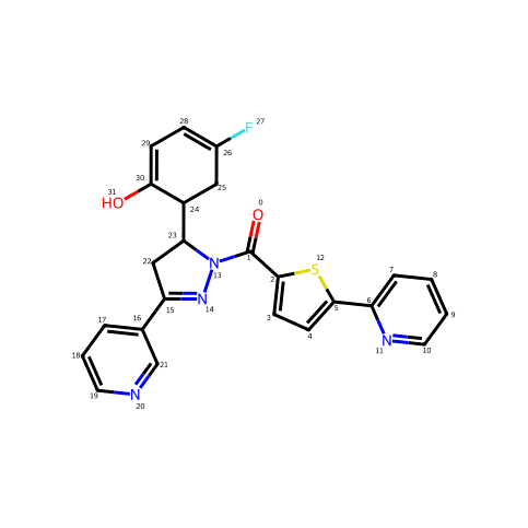 O=C(c1ccc(-c2ccccn2)s1)N1N=C(c2cccnc2)CC1C1CC(F)=CC=C1O